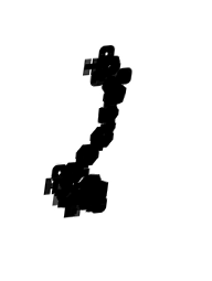 COc1cc(N2CCC(N3CCN(C[C@H]4CCN(c5ccc6c(c5)CN(C5CCC(=O)NC5=O)C6=O)C4)CC3)CC2)c(C)cc1Nc1ncc(Br)c(Nc2cccc3c2N(S(C)(=O)=O)CC3)n1